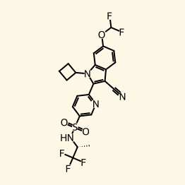 C[C@@H](NS(=O)(=O)c1ccc(-c2c(C#N)c3ccc(OC(F)F)cc3n2C2CCC2)nc1)C(F)(F)F